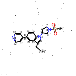 CC(C)Cc1cn(C2CCN(S(=O)(=O)C(C)C)C2)c2ccc(-c3ccncc3)cc12